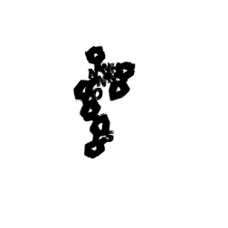 c1ccc(C2=NC(c3cccc4c3oc3cc(-c5ccc6sc7ccccc7c6c5)ccc34)=NC(n3c4ccccc4c4ccccc43)N2)cc1